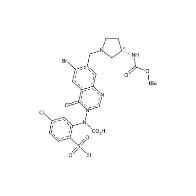 CCS(=O)(=O)c1ccc(Cl)cc1N(C(=O)O)n1cnc2cc(CN3CC[C@H](NC(=O)OC(C)(C)C)C3)c(Br)cc2c1=O